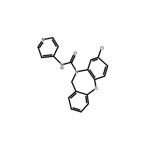 O=C(Nc1ccncc1)N1Cc2ccccc2Oc2ccc(Cl)cc21